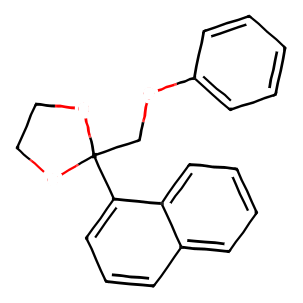 c1ccc(OCC2(c3cccc4ccccc34)OCCO2)cc1